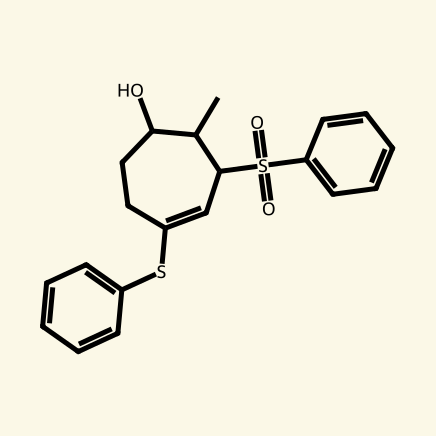 CC1C(O)CCC(Sc2ccccc2)=CC1S(=O)(=O)c1ccccc1